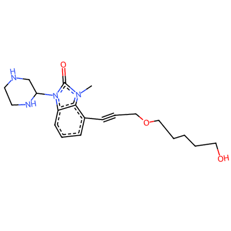 Cn1c(=O)n(C2CNCCN2)c2cccc(C#CCOCCCCCO)c21